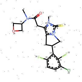 CN(C(=O)Cc1c2n(c(=S)n1C)CC(c1c(F)ccc(Cl)c1F)C2)C1COC1